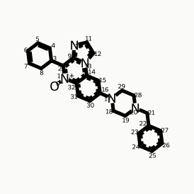 [O-][n+]1c(C2C=CC=CC2)c2nccn2c2cc(N3CCN(Cc4ccccc4)CC3)ccc21